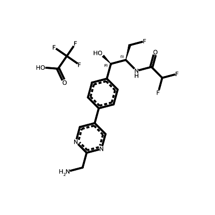 NCc1ncc(-c2ccc([C@@H](O)[C@@H](CF)NC(=O)C(F)F)cc2)cn1.O=C(O)C(F)(F)F